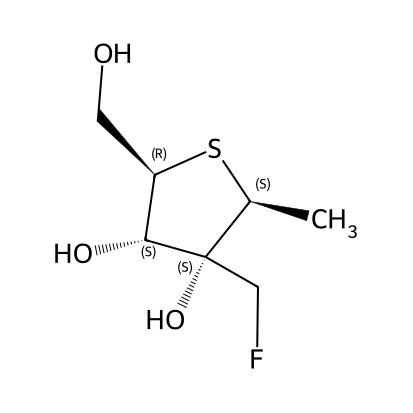 C[C@@H]1S[C@H](CO)[C@@H](O)[C@]1(O)CF